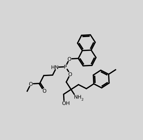 COC(=O)CCNP(OCC(N)(CO)CCc1ccc(C)cc1)Oc1cccc2ccccc12